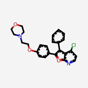 Clc1ccnc2oc(-c3ccc(OCCN4CCOCC4)cc3)c(-c3ccccc3)c12